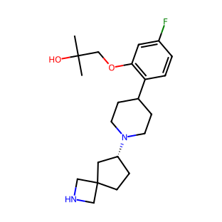 CC(C)(O)COc1cc(F)ccc1C1CCN([C@@H]2CCC3(CNC3)C2)CC1